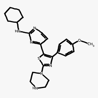 COc1ccc(-c2nc(N3CCNCC3)sc2-c2ccnc(NC3CCCCC3)n2)cc1